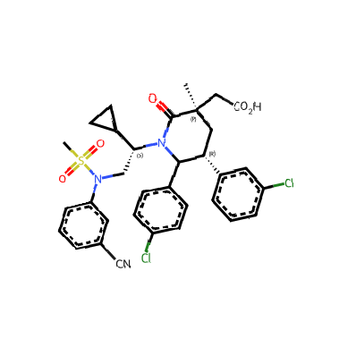 C[C@]1(CC(=O)O)C[C@H](c2cccc(Cl)c2)C(c2ccc(Cl)cc2)N([C@H](CN(c2cccc(C#N)c2)S(C)(=O)=O)C2CC2)C1=O